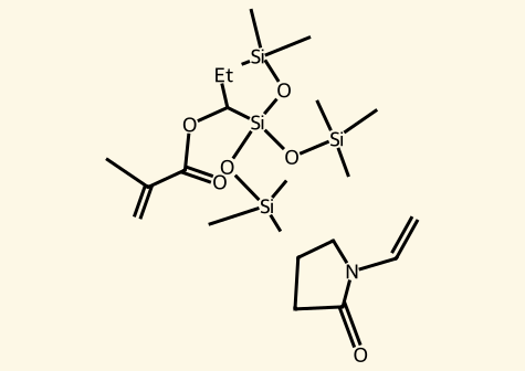 C=C(C)C(=O)OC(CC)[Si](O[Si](C)(C)C)(O[Si](C)(C)C)O[Si](C)(C)C.C=CN1CCCC1=O